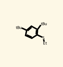 CCSc1ccc(C(C)(C)C)cc1C(C)(C)C